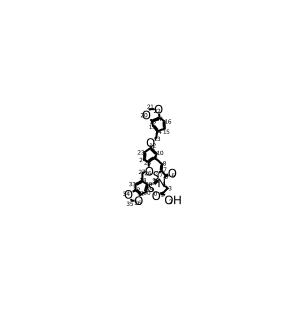 O=C(O)CN1C(=O)C(=Cc2cc(OCc3ccc4c(c3)OCO4)ccc2OCc2ccc3c(c2)OCO3)SC1=S